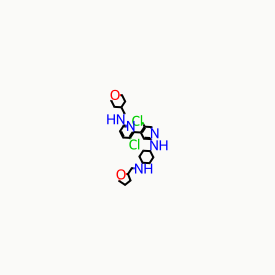 Clc1cnc(N[C@H]2CC[C@H](NCC3CCCO3)CC2)cc1-c1nc(NCC2CCOCC2)ccc1Cl